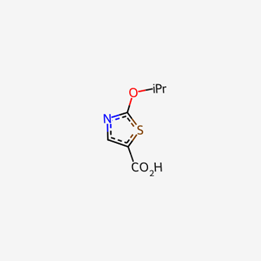 CC(C)Oc1ncc(C(=O)O)s1